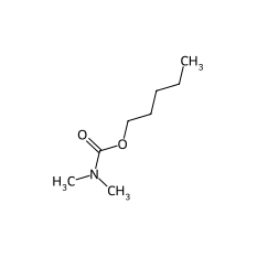 CCCCCOC(=O)N(C)C